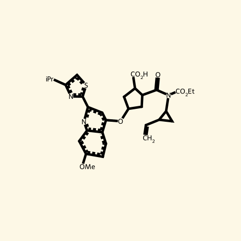 C=CC1CC1N(C(=O)OCC)C(=O)C1CC(Oc2cc(-c3nc(C(C)C)cs3)nc3cc(OC)ccc23)CC1C(=O)O